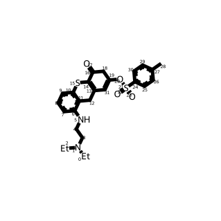 CCN(CC)CCNc1cccc2c1CC1=C(S2)C(=O)CC(OS(=O)(=O)c2ccc(C)cc2)=C1